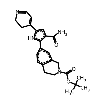 CC(C)(C)OC(=O)N1CCc2ccc(-c3[nH]c(C4=CC=NCC4)cc3C(N)=O)cc2C1